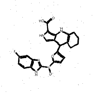 O=C(O)c1[nH]cc2c1NC1=C(CCCC1)C2c1ccc([S+]([O-])c2nc3cc(F)ccc3[nH]2)o1